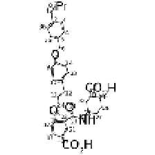 CC(C)Cc1ccc(COc2ccc(CCCOc3ccc(C(=O)O)cc3C(=O)NC3CCCC(C(=O)O)C3)cc2)cc1